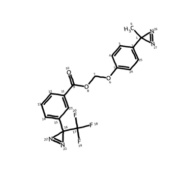 CC1(c2ccc(OCOC(=O)c3cccc(C4(C(F)(F)F)N=N4)c3)cc2)N=N1